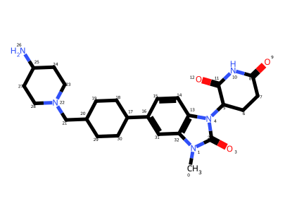 Cn1c(=O)n(C2CCC(=O)NC2=O)c2ccc(C3CCC(CN4CCC(N)CC4)CC3)cc21